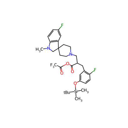 CN1CC2(CCN(CC(Cc3cc(O[Si](C)(C)C(C)(C)C)ccc3F)C(=O)OC(=O)C(F)(F)F)CC2)c2cc(F)ccc21